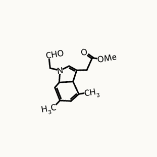 COC(=O)CC1=CN(CC=O)C2C=C(C)C=C(C)C12